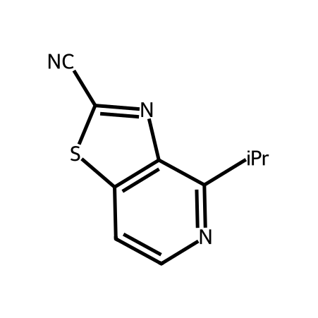 CC(C)c1nccc2sc(C#N)nc12